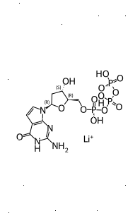 Nc1nc2c(ccn2[C@H]2C[C@H](O)[C@@H](COP(=O)(O)OP(=O)(O)OP(=O)([O-])O)O2)c(=O)[nH]1.[Li+]